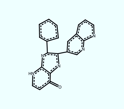 O=c1cc[nH]c2nc(-c3ccccc3)c(-c3cnc4ncccc4c3)nc12